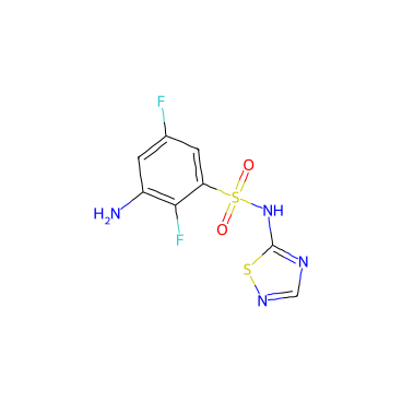 Nc1cc(F)cc(S(=O)(=O)Nc2ncns2)c1F